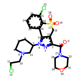 O=C(c1nn(C2CCCN(CCCl)C2)c2c1CS(=O)(=O)c1c(Cl)cccc1-2)N1CCOCC1